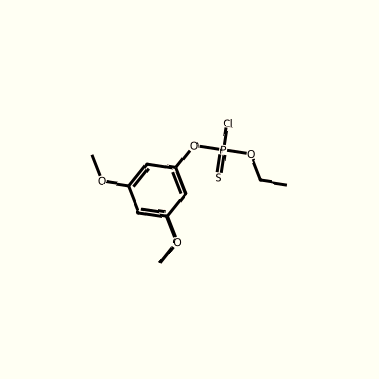 CCOP(=S)(Cl)Oc1cc(OC)cc(OC)c1